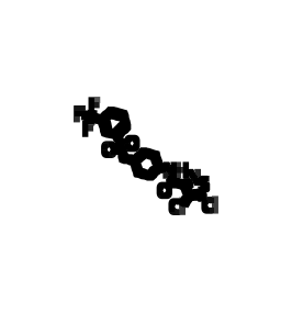 O=C(NC1CCC(CS(=O)(=O)c2cccc(C(F)(F)F)c2)CC1)c1nsc(Cl)c1Cl